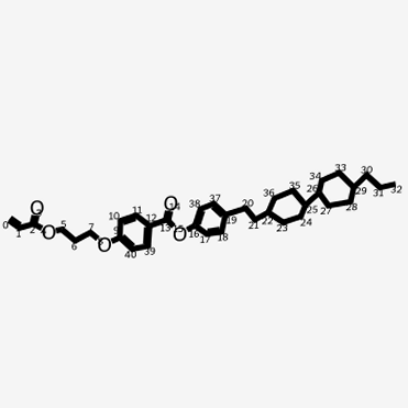 C=CC(=O)OCCCOc1ccc(C(=O)Oc2ccc(CCC3CCC(C4CCC(CCC)CC4)CC3)cc2)cc1